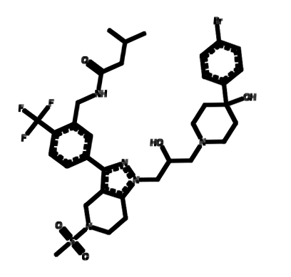 CC(C)CC(=O)NCc1cc(-c2nn(CC(O)CN3CCC(O)(c4ccc(Br)cc4)CC3)c3c2CN(S(C)(=O)=O)CC3)ccc1C(F)(F)F